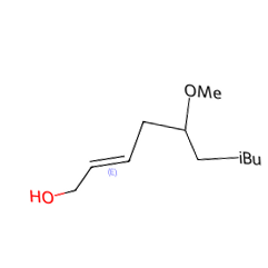 CCC(C)CC(C/C=C/CO)OC